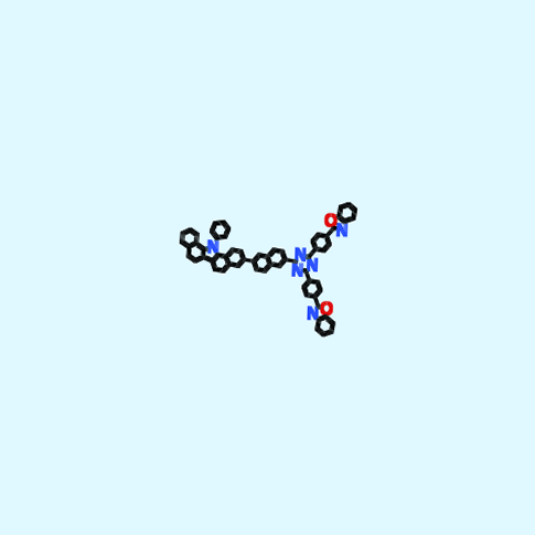 c1ccc(-n2c3c4ccccc4ccc3c3ccc4cc(-c5ccc6cc(-c7nc(-c8ccc(-c9nc%10ccccc%10o9)cc8)nc(-c8ccc(-c9nc%10ccccc%10o9)cc8)n7)ccc6c5)ccc4c32)cc1